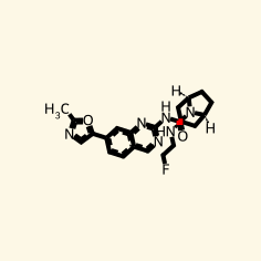 Cc1ncc(-c2ccc3cnc(NC(=O)N4[C@@H]5CC[C@H]4C[C@@H](NCCF)C5)nc3c2)o1